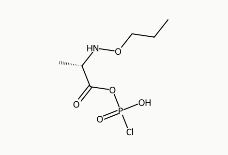 CCCON[C@@H](C)C(=O)OP(=O)(O)Cl